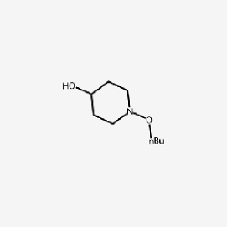 CCCCON1CCC(O)CC1